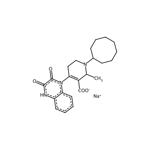 CC1C(C(=O)[O-])=C(n2c(=O)c(=O)[nH]c3ccccc32)CCN1C1CCCCCCC1.[Na+]